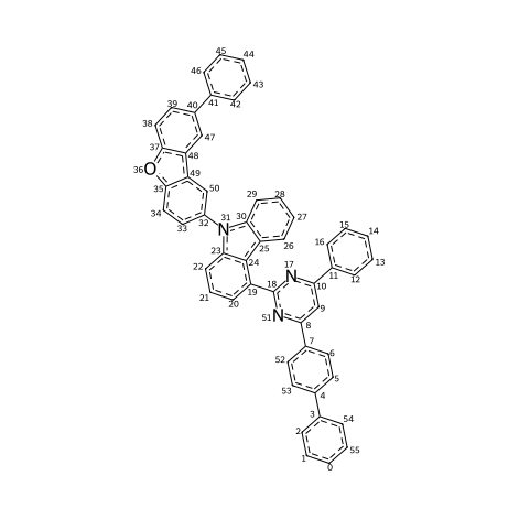 c1ccc(-c2ccc(-c3cc(-c4ccccc4)nc(-c4cccc5c4c4ccccc4n5-c4ccc5oc6ccc(-c7ccccc7)cc6c5c4)n3)cc2)cc1